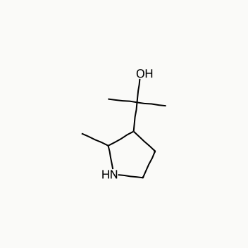 CC1NCCC1C(C)(C)O